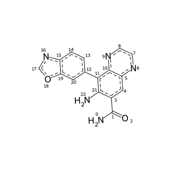 NC(=O)c1cc2nccnc2c(-c2ccc3ncoc3c2)c1N